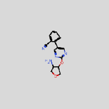 N#Cc1ccccc1-c1cnc(OC2COCC2N)nc1